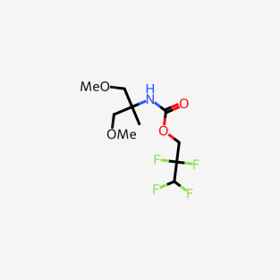 COCC(C)(COC)NC(=O)OCC(F)(F)C(F)F